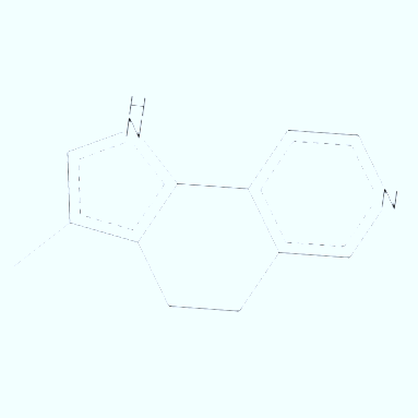 Cc1c[nH]c2c1CCc1cnccc1-2